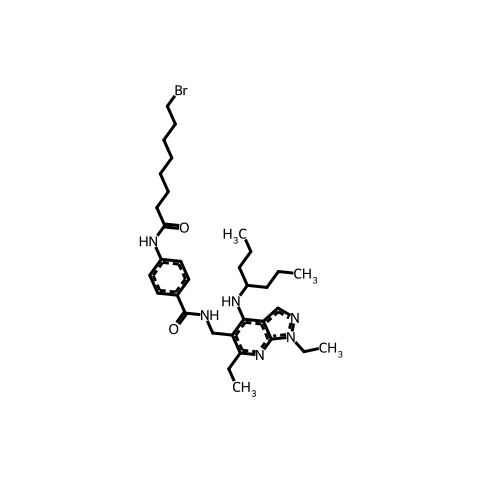 CCCC(CCC)Nc1c(CNC(=O)c2ccc(NC(=O)CCCCCCCBr)cc2)c(CC)nc2c1cnn2CC